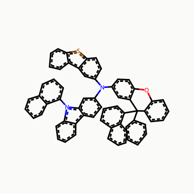 c1ccc(C2(c3cccc4ccccc34)c3ccccc3Oc3ccc(N(c4ccc5sc6ccccc6c5c4)c4ccc5c6ccccc6n(-c6cccc7ccccc67)c5c4)cc32)cc1